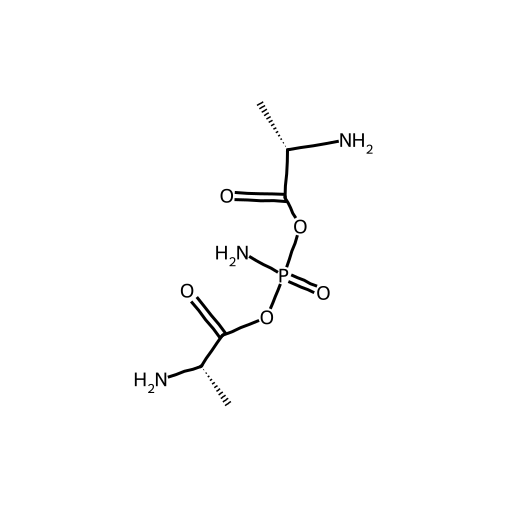 C[C@H](N)C(=O)OP(N)(=O)OC(=O)[C@H](C)N